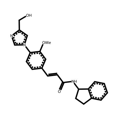 COc1cc(C=CC(=O)NC2CCc3ccccc32)ccc1-n1cnc(CO)c1